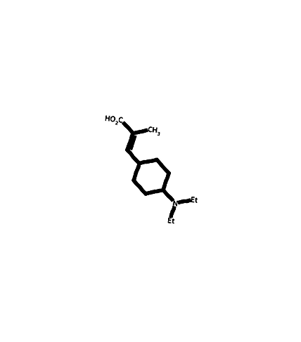 CCN(CC)C1CCC(/C=C(\C)C(=O)O)CC1